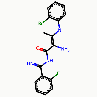 C/C(Nc1ccccc1Br)=C(/N)C(=O)NC(=N)c1ccccc1F